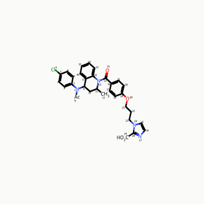 CC(=O)N(c1ccc(Cl)cc1)C1CC(C)N(C(=O)c2ccc(OCCCn3ccnc3C(=O)O)cc2)c2ccccc21